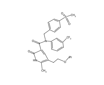 Cc1[nH]c(=O)c(C(=O)N(Cc2ccc(S(C)(=O)=O)cc2)c2cccc(C(F)(F)F)c2)cc1CCOC(C)C